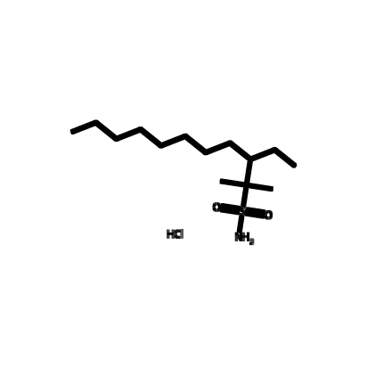 CCCCCCCCC(CC)C(C)(C)S(N)(=O)=O.Cl